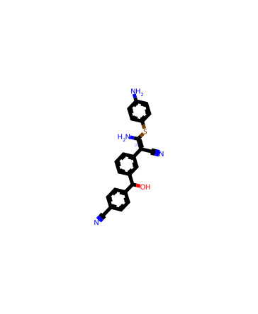 N#C/C(=C(/N)Sc1ccc(N)cc1)c1cccc(C(O)c2ccc(C#N)cc2)c1